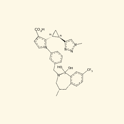 CC1Cc2ccc(C(F)(F)F)cc2S(O)(O)N(Cc2cccc(-n3ccc(C(=O)O)c3[C@@H]3C[C@H]3c3cn(C)nn3)c2)C1